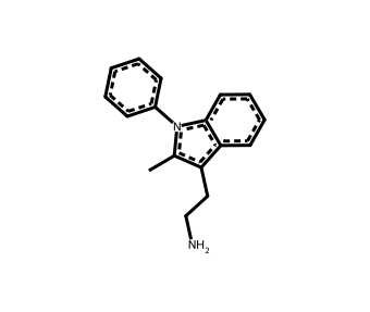 Cc1c(CCN)c2ccccc2n1-c1ccccc1